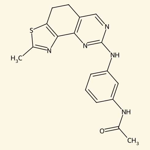 CC(=O)Nc1cccc(Nc2ncc3c(n2)-c2nc(C)sc2CC3)c1